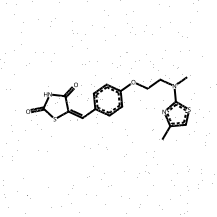 Cc1csc(N(C)CCOc2ccc(/C=C3/SC(=O)NC3=O)cc2)n1